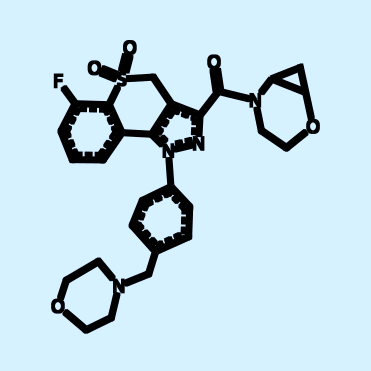 O=C(c1nn(-c2ccc(CN3CCOCC3)cc2)c2c1CS(=O)(=O)c1c(F)cccc1-2)N1CCOC2CC21